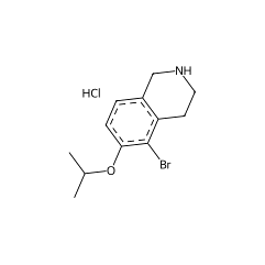 CC(C)Oc1ccc2c(c1Br)CCNC2.Cl